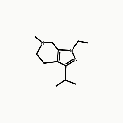 CCn1nc(C(C)C)c2c1CN(C)CC2